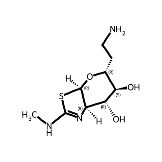 CNC1=N[C@@H]2[C@@H](O)[C@H](O)[C@@H](CCN)O[C@@H]2S1